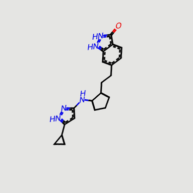 O=c1[nH][nH]c2cc(CCC3CCCC3Nc3cc(C4CC4)[nH]n3)ccc12